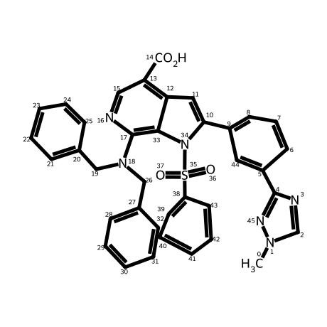 Cn1cnc(-c2cccc(-c3cc4c(C(=O)O)cnc(N(Cc5ccccc5)Cc5ccccc5)c4n3S(=O)(=O)c3ccccc3)c2)n1